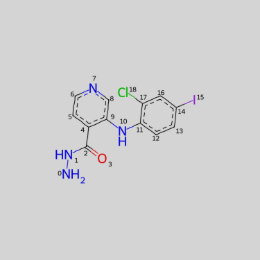 NNC(=O)c1ccncc1Nc1ccc(I)cc1Cl